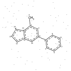 Cc1cc(-c2ccccc2)cc2ccsc12